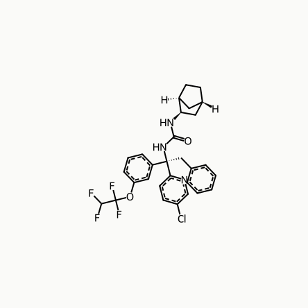 O=C(N[C@@H]1C[C@H]2CC[C@H]1C2)N[C@](Cc1ccccc1)(c1cccc(OC(F)(F)C(F)F)c1)c1ccc(Cl)cn1